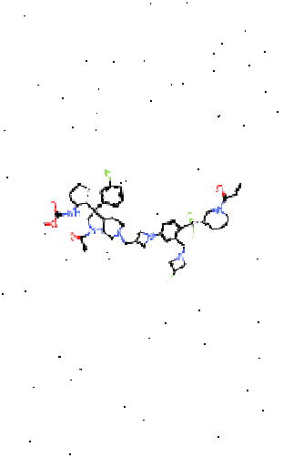 C=CC(=O)N1CCC[C@H](C(F)(F)c2ccc(N3CC(CN4CCC([C@@](CNC(C)=O)(c5cccc(F)c5)[C@H]5CCC[C@@H]5NC(=O)OC)CC4)C3)cc2CN2CC(F)C2)C1